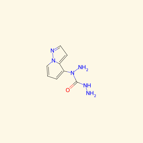 NNC(=O)N(N)c1cccn2nccc12